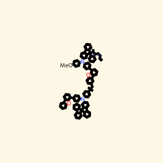 C=C/C=C\C=C(/C)C1(c2ccccc2)c2ccccc2-c2ccc(N(c3ccc(OC)cc3)c3ccc(-c4cccc5c4oc4ccc(CC(C)(C)c6ccc(N(c7ccc(-c8cccc9c8oc8ccccc89)cc7)c7ccc8c(c7)C(c7ccccc7)(c7ccccc7)c7ccccc7-8)cc6)cc45)cc3)cc21